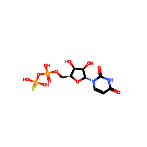 O=c1ccn([C@@H]2O[C@H](COP(=O)(O)OP(O)(O)=S)[C@@H](O)[C@H]2O)c(=O)[nH]1